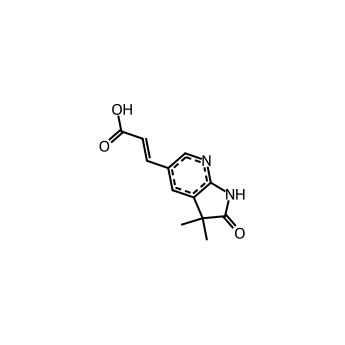 CC1(C)C(=O)Nc2ncc(C=CC(=O)O)cc21